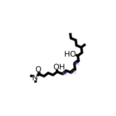 CCCCC(C)CC(O)/C=C/C=C\C=C\C(O)CCCC(=O)N(C)C